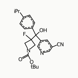 CC(C)c1ccc(C(O)(c2cncc(C#N)c2)C2(F)CN(C(=O)OC(C)(C)C)C2)cc1